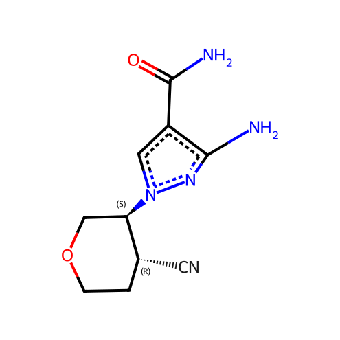 N#C[C@@H]1CCOC[C@H]1n1cc(C(N)=O)c(N)n1